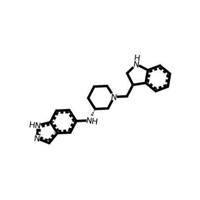 c1ccc2c(c1)NCC2CN1CCC[C@@H](Nc2ccc3[nH]ncc3c2)C1